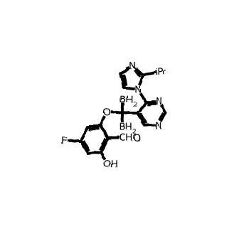 BC(B)(Oc1cc(F)cc(O)c1C=O)c1cncnc1-n1ccnc1C(C)C